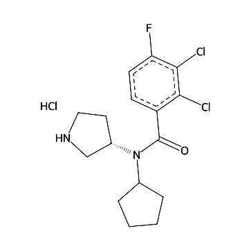 Cl.O=C(c1ccc(F)c(Cl)c1Cl)N(C1CCCC1)[C@H]1CCNC1